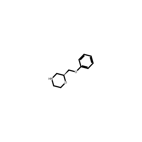 c1ccc(OC[C@@H]2CNCCO2)cc1